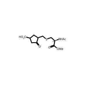 COC(=O)[C@@H](CSCC1CC(C(=O)O)CC1=O)NC(C)=O